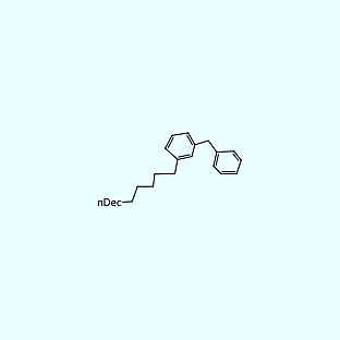 CCCCCCCCCCCCCCCc1cccc(Cc2ccccc2)c1